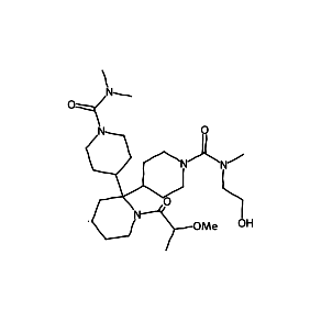 COC(C)C(=O)N1CC[CH]CC1(C1CCN(C(=O)N(C)C)CC1)C1CCN(C(=O)N(C)CCO)CC1